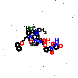 Cc1nn(C)c(C)c1-c1c(Cl)ccc2c(CCCOc3cccc4ccccc34)c(COC(C)(C)C)n(CCN3CCN(C(O)COc4cccc5c4CN(C4CCC(=O)NC4=O)C5=O)C4CC43)c12